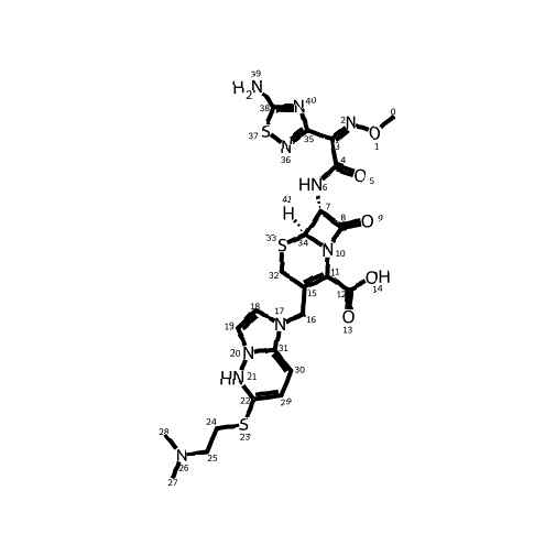 CO/N=C(\C(=O)N[C@@H]1C(=O)N2C(C(=O)O)=C(CN3C=CN4NC(SCCN(C)C)=CC=C34)CS[C@@H]12)c1nsc(N)n1